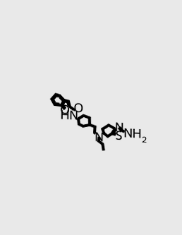 CCCN(CCC1CCC(NC(=O)c2cc3ccccc3o2)CC1)[C@H]1CCc2nc(N)sc2C1